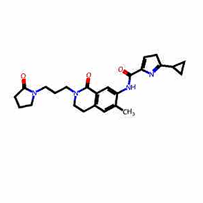 Cc1cc2c(cc1NC(=O)C1=CCC(C3CC3)=N1)C(=O)N(CCCN1CCCC1=O)CC2